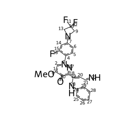 COc1cn(-c2ccc(N3CC(F)(F)C3)cc2F)nc(/C(=C/C=N)Nc2ccccc2)c1=O